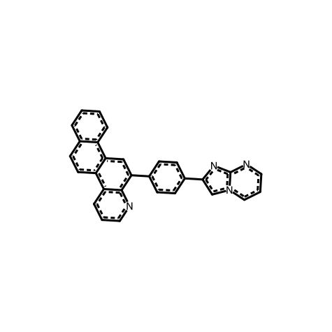 c1ccc2c(c1)ccc1c3cccnc3c(-c3ccc(-c4cn5cccnc5n4)cc3)cc21